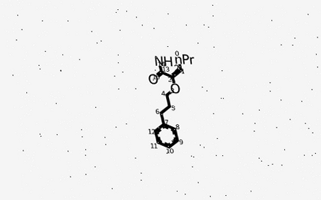 CCCC=C(OCCCc1ccccc1)C(N)=O